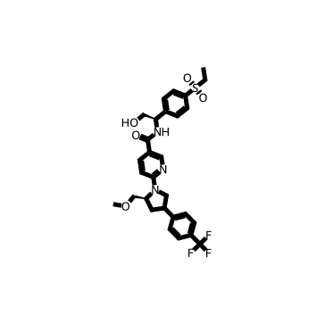 CCS(=O)(=O)c1ccc([C@H](CO)NC(=O)c2ccc(N3CC(c4ccc(C(F)(F)F)cc4)C[C@H]3COC)nc2)cc1